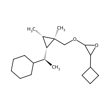 C[C@@H](C1CCCCC1)[C@@H]1[C@H](C)[C@@]1(C)COC1OC1C1CCC1